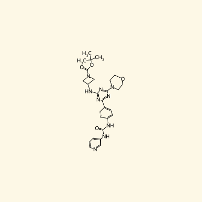 CC(C)(C)OC(=O)N1CC(Nc2nc(-c3ccc(NC(=O)Nc4cccnc4)cc3)nc(N3CCOCC3)n2)C1